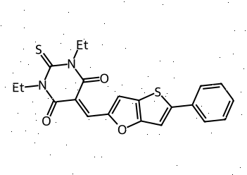 CCN1C(=O)C(=Cc2cc3sc(-c4ccccc4)cc3o2)C(=O)N(CC)C1=S